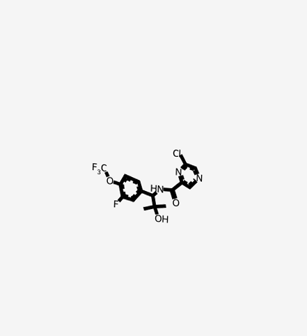 CC(C)(O)C(NC(=O)c1cncc(Cl)n1)c1ccc(OC(F)(F)F)c(F)c1